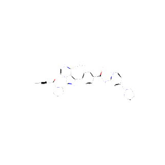 CC#CC(=O)N1CCC[C@H]1c1nc(-c2ccc(C(=O)Nc3cc(N4CCCC4)ccn3)cc2)c2c(NC)nccn12